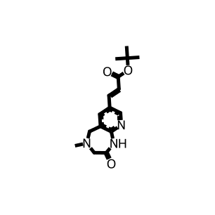 CN1CC(=O)Nc2ncc(C=CC(=O)OC(C)(C)C)cc2C1